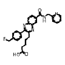 O=C(O)CCCCc1nc2cc(C(=O)NCc3ccccn3)ccc2nc1-c1ccc(CF)cc1